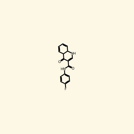 O=C(Nc1ccc(F)cc1)C1=CNC2C=CC=CC2C1=O